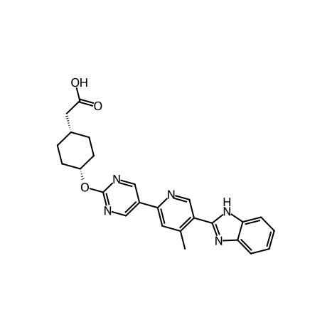 Cc1cc(-c2cnc(O[C@H]3CC[C@@H](CC(=O)O)CC3)nc2)ncc1-c1nc2ccccc2[nH]1